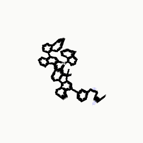 C/C=C\C=C/c1cccc(-c2cc3c(c4ccccc24)-c2ccc4c5c6ccccc6c(-c6cccc7ccccc67)cc5n(-c5cccc6ccccc56)c4c2C3(C)C)c1